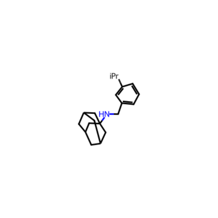 CC(C)c1cccc(CNC23CC4CC(CC(C4)C2)C3)c1